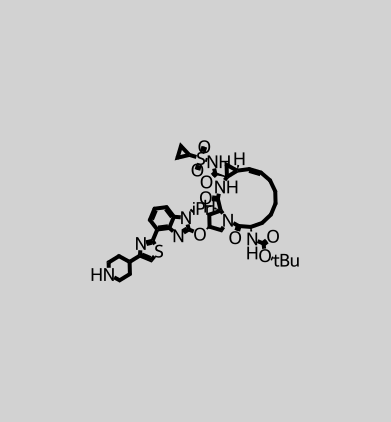 CC(C)n1c(O[C@@H]2C[C@H]3C(=O)N[C@]4(C(=O)NS(=O)(=O)C5CC5)C[C@H]4/C=C\CCCCC[C@H](NC(=O)OC(C)(C)C)C(=O)N3C2)nc2c(-c3nc(C4CCNCC4)cs3)cccc21